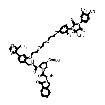 Cc1ncsc1-c1ccc(CNC(=O)[C@@H]2C[C@@H](OC(C)(C)C)CN2C(=O)[C@H](C(C)C)N2Cc3ccccc3C2=O)c(OCCOCCOCCOc2ccc(N3C(=S)N(c4ccc(C#N)c(C(F)(F)F)c4)C(=O)C3(C)C)cc2)c1